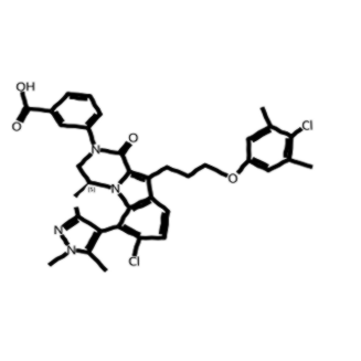 Cc1cc(OCCCc2c3n(c4c(-c5c(C)nn(C)c5C)c(Cl)ccc24)[C@@H](C)CN(c2cccc(C(=O)O)c2)C3=O)cc(C)c1Cl